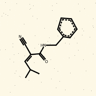 CC(C)/C=C(/C#N)C(=O)NCc1ccccc1